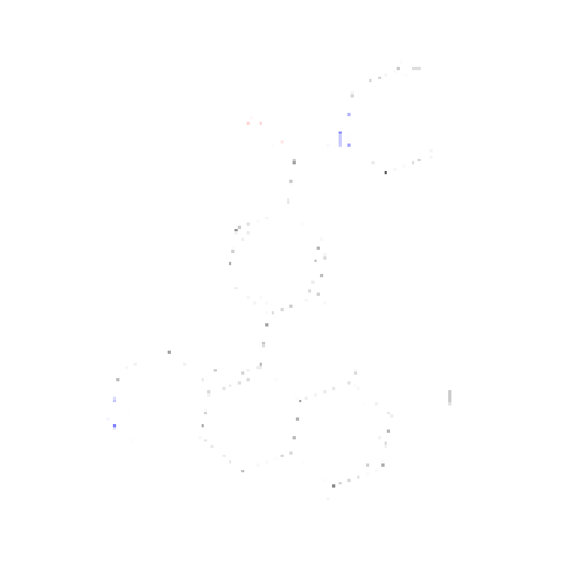 CCN(CC)C(=O)c1ccc(C2=C3CCNCC3Cc3ccc(C)cc32)cc1